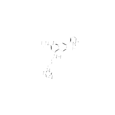 Nc1cc(NCCCn2cncn2)c2ccc(-c3ccn[nH]3)cc2n1